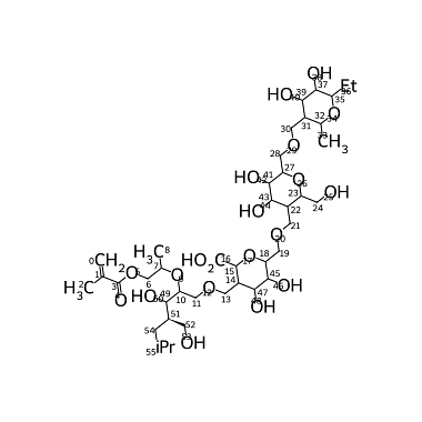 C=C(C)C(=O)OCC(C)OC(COCC1C(C(=O)O)OC(COCC2C(CO)OC(COCC3C(C)OC(CC)C(O)C3O)C(O)C2O)C(O)C1O)C(O)[C@@H](CO)CC(C)C